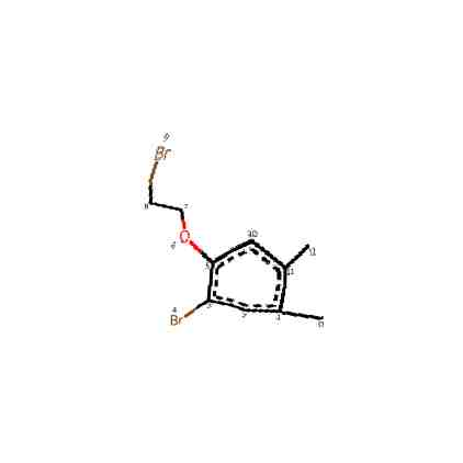 Cc1cc(Br)c(OCCBr)cc1C